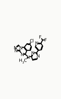 CN(c1ccnc(-c2ccc(C(F)F)nc2)n1)c1nc2nncn2c2cc(Cl)ccc12